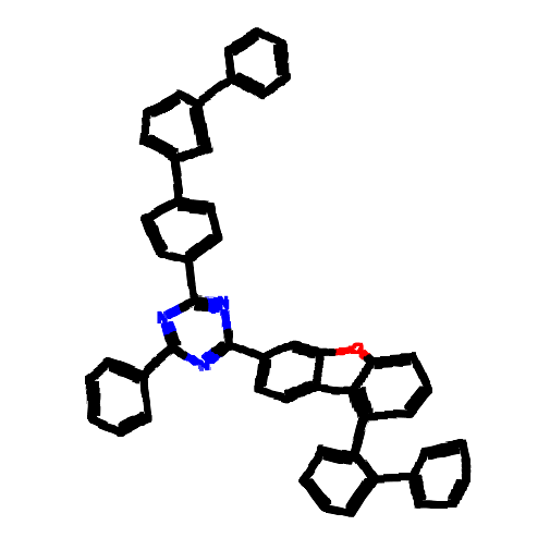 c1ccc(-c2cccc(-c3ccc(-c4nc(-c5ccccc5)nc(-c5ccc6c(c5)oc5cccc(-c7ccccc7-c7ccccc7)c56)n4)cc3)c2)cc1